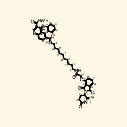 CNC(=O)c1cnc2ccc(C(=O)NCCCCCCCCCCNC(=O)COc3cccc4c3C(=O)N(C3CCC(=O)NC3=O)C4=O)cc2c1Nc1ccccc1